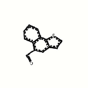 O=Cc1cc2ccsc2c2ccccc12